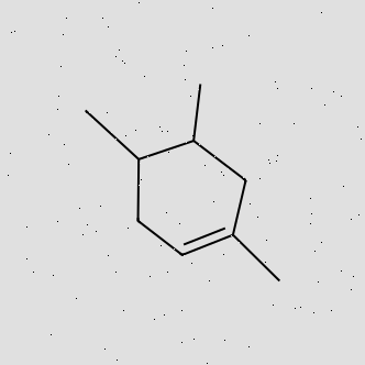 CC1=CCC(C)C(C)C1